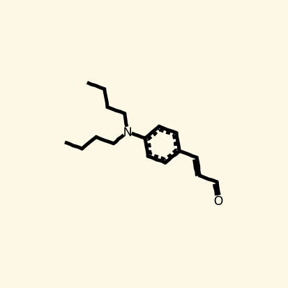 CCCCN(CCCC)c1ccc(C=CC=O)cc1